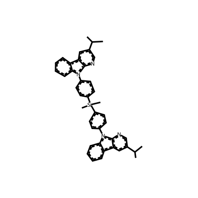 CC(C)c1cnc2c(c1)c1ccccc1n2-c1ccc([Si](C)(C)c2ccc(-n3c4ccccc4c4cc(C(C)C)cnc43)cc2)cc1